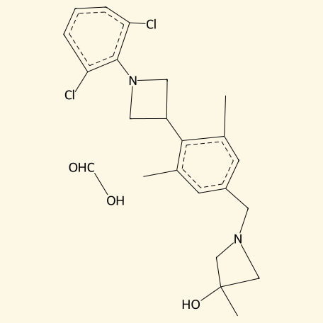 Cc1cc(CN2CC(C)(O)C2)cc(C)c1C1CN(c2c(Cl)cccc2Cl)C1.O=CO